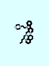 CCCCCN(Cc1nccc2c3ccccc3n(CCN3CCOCC3)c12)[C@H]1CCCc2cccnc21